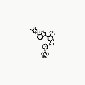 Cc1cn(-c2cccc3c(-c4nc(N[C@H]5CCCN(C(=O)OC(C)(C)C)C5)ncc4C(F)(F)F)c[nH]c23)cn1